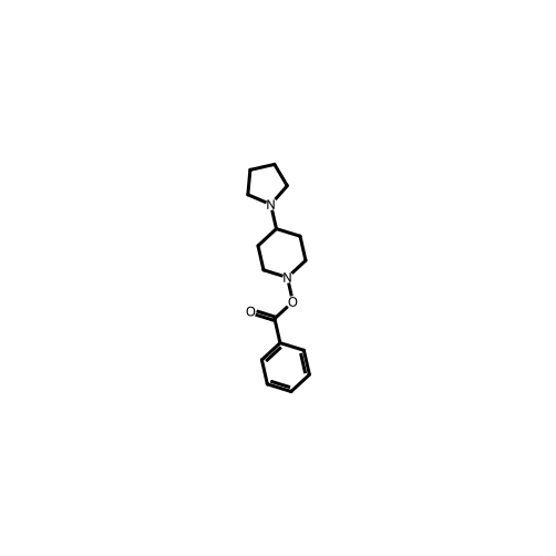 O=C(ON1CCC(N2CCCC2)CC1)c1ccccc1